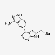 CC(C)(C)Cc1cc2c(-c3ccc4[nH]nc(N)c4c3)ccnc2[nH]1